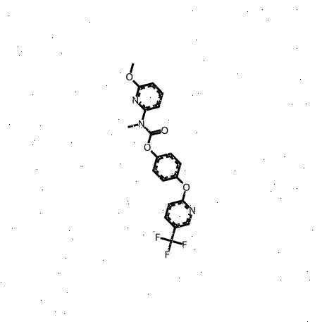 COc1cccc(N(C)C(=O)Oc2ccc(Oc3ccc(C(F)(F)F)cn3)cc2)n1